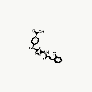 O=C(/C=C/c1ccccc1Cl)Nc1nnc(NC2CCN(C(=O)O)CC2)s1